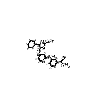 CC(C)c1nc(-c2ccccc2)c(Oc2ccnc(Nc3cccc(C(N)=O)c3)c2)s1